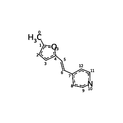 Cc1ccc(/C=C/c2ccncc2)o1